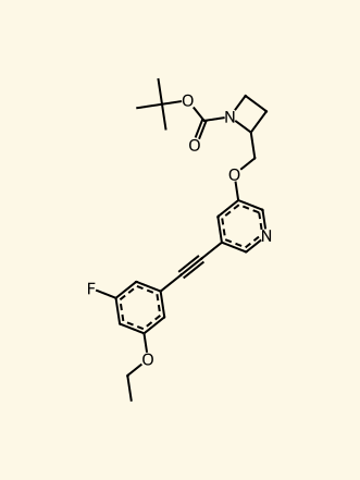 CCOc1cc(F)cc(C#Cc2cncc(OCC3CCN3C(=O)OC(C)(C)C)c2)c1